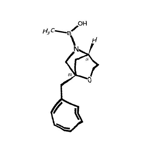 CB(O)N1C[C@]2(Cc3ccccc3)C[C@H]1CO2